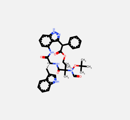 CCOC(=O)C(c1ccccc1)c1n[nH]c2cccc(NC(=O)[C@@H](Cc3c[nH]c4ccccc34)NC(=O)C(C)(C)N(C=O)OC(C)(C)C)c12